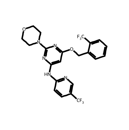 FC(F)(F)c1ccc(Nc2cc(OCc3ccccc3C(F)(F)F)nc(N3CCOCC3)n2)nc1